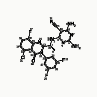 C[C@H](Nc1nc(N)nc(N)c1C#N)c1nc2c(F)ccc(Cl)c2c(=O)n1-c1cc(F)cc(F)c1